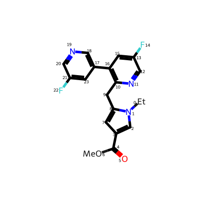 CCn1cc(C(=O)OC)cc1Cc1ncc(F)cc1-c1cncc(F)c1